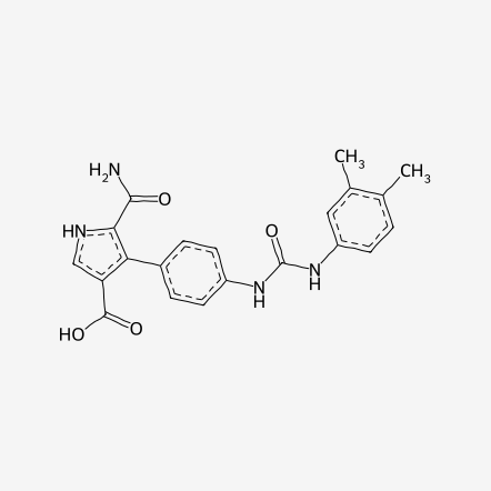 Cc1ccc(NC(=O)Nc2ccc(-c3c(C(=O)O)c[nH]c3C(N)=O)cc2)cc1C